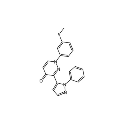 CSc1cccc(-n2ccc(=O)c(-c3ccnn3-c3ccccc3)n2)c1